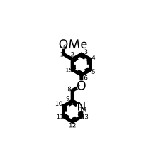 COCc1cccc(OCc2ccccn2)c1